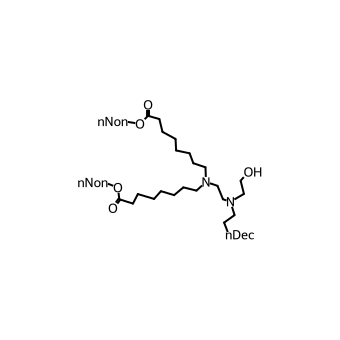 CCCCCCCCCCCCN(CCO)CCN(CCCCCCCC(=O)OCCCCCCCCC)CCCCCCCC(=O)OCCCCCCCCC